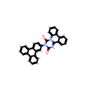 O=c1nc2c3ccccc3c3ccccc3n2c(=O)n1-c1ccc2c3ccccc3c3ccccc3c2c1